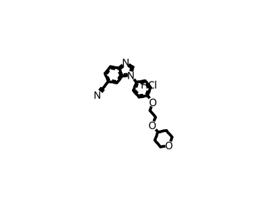 Cl.N#Cc1ccc2ncn(-c3ccc(OCCOC4CCOCC4)cc3)c2c1